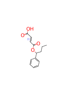 CCCC(OC(=O)/C=C/C(=O)O)c1ccccc1